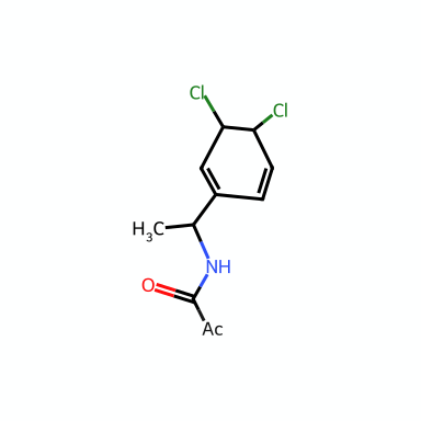 CC(=O)C(=O)NC(C)C1=CC(Cl)C(Cl)C=C1